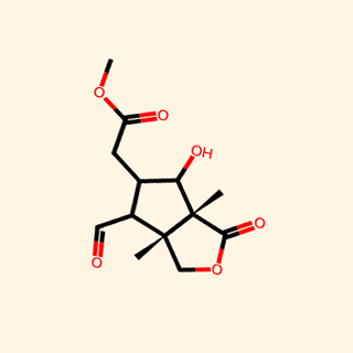 COC(=O)CC1C(O)[C@]2(C)C(=O)OC[C@]2(C)C1C=O